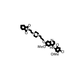 COc1cc(Nc2ccnc3cc(OCCCN4CCN(CCN5C(=O)c6ccccc6C5=O)CC4)c(OC)cc23)c(Cl)cc1Cl